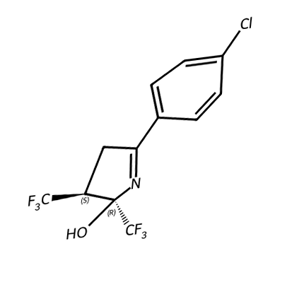 O[C@]1(C(F)(F)F)N=C(c2ccc(Cl)cc2)C[C@@H]1C(F)(F)F